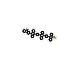 CC1(C)c2ccccc2-c2ccc(-c3c4ccccc4c(-c4ccc(-c5c6ccccc6c(-c6ccc(-c7c8ccccc8c(Br)c8ccccc78)cc6)c6ccccc56)cc4)c4ccccc34)cc21